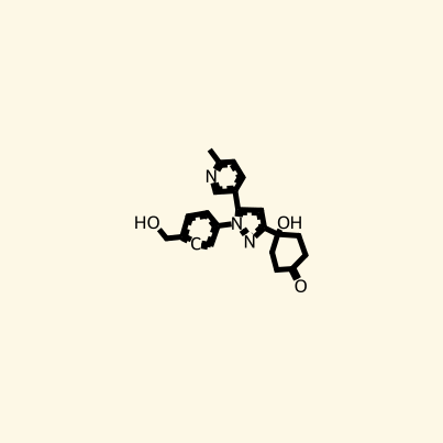 Cc1ccc(-c2cc(C3(O)CCC(=O)CC3)nn2-c2ccc(CO)cc2)cn1